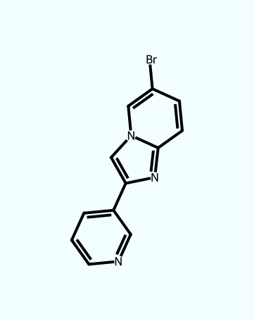 Brc1ccc2nc(-c3cccnc3)cn2c1